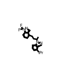 CC(C)c1cccc2c1cnn2C(C)CCc1cccc2c1cnn2C(F)F